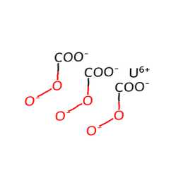 O=C([O-])O[O-].O=C([O-])O[O-].O=C([O-])O[O-].[U+6]